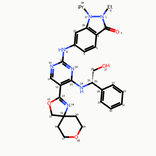 CCn1c(=O)c2ccc(Nc3ncc(C4=NC5(CCOCC5)CO4)c(N[C@H](CO)c4ccccc4)n3)cc2n1C(C)C